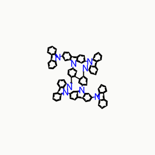 N#Cc1ccc(-n2c3cc(-n4c5ccccc5c5ccccc54)ccc3c3ccc(-n4c5ccccc5c5ccccc54)cc32)cc1-c1cc(-n2c3cc(-n4c5ccccc5c5ccccc54)ccc3c3ccc(-n4c5ccccc5c5ccccc54)cc32)ccc1C#N